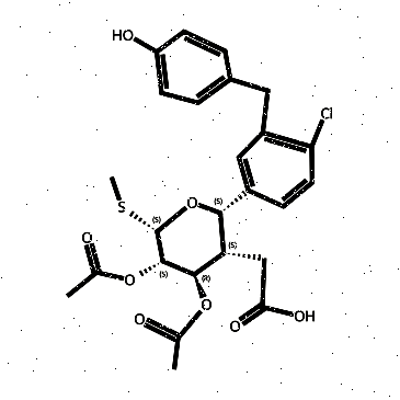 CS[C@@H]1O[C@H](c2ccc(Cl)c(Cc3ccc(O)cc3)c2)[C@H](CC(=O)O)[C@@H](OC(C)=O)[C@@H]1OC(C)=O